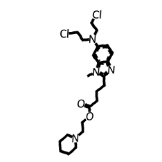 Cn1c(CCCC(=O)OCCN2CCCCC2)nc2ccc(N(CCCl)CCCl)cc21